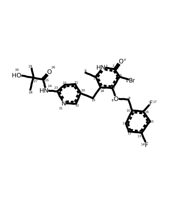 Cc1[nH]c(=O)c(Br)c(OCc2ccc(F)cc2F)c1Cc1ccc(NC(=O)C(C)(C)O)nc1